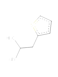 CCCC(C)Cc1cccs1